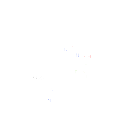 COc1cc(/C=C2\CC(S(F)(F)(F)(F)F)CN3C2=NOC3(CO)c2ccc(C)cc2)ccc1-n1cnc(C)c1